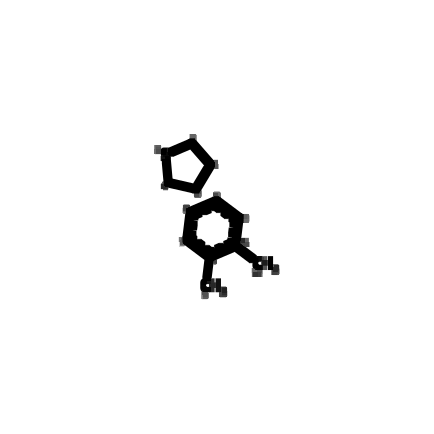 C1CCSC1.Cc1ccccc1C